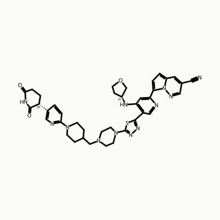 N#Cc1cnn2c(-c3cc(N[C@H]4CCOC4)c(-c4nnc(N5CCN(CC6CCN(c7ccc([C@H]8CCC(=O)NC8=O)cn7)CC6)CC5)s4)cn3)ccc2c1